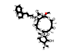 CC[C@H]1OC(=O)[C@H](C)C(=O)[C@H](C)[C@@H](O[C@@H]2OC(C)CC(N(C)C)C2O)[C@](C)(OC)C[C@@H](C)C(=O)[C@H](C)[C@H]2N(NC/C=C/c3ccnc4ccccc34)C(=O)O[C@]12C